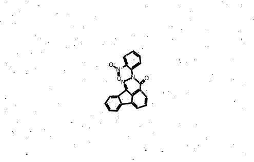 O=c1c2cccc3c2c(nn1-c1ccccc1[N+](=O)[O-])-c1ccccc1-3